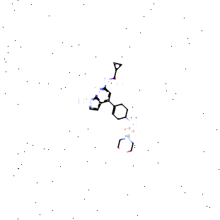 O=C(Nc1cc(C2=CCC(NS(=O)(=O)N3CCOCC3)CC2)c2cc[nH]c2n1)C1CC1